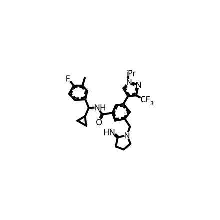 Cc1cc(C(NC(=O)c2cc(CN3CCCC3=N)cc(-c3cn(C(C)C)nc3C(F)(F)F)c2)C2CC2)ccc1F